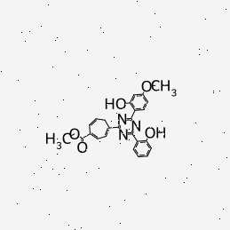 COC(=O)C1=CC=C(c2nc(-c3ccccc3O)nc(-c3ccc(OC)cc3O)n2)CC=C1